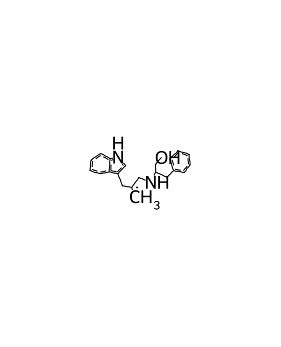 C[C](CNC(CO)Cc1ccccc1)Cc1c[nH]c2ccccc12